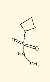 CNS(=O)(=O)N1CCC1